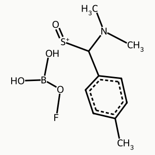 Cc1ccc(C([S+]=O)N(C)C)cc1.OB(O)OF